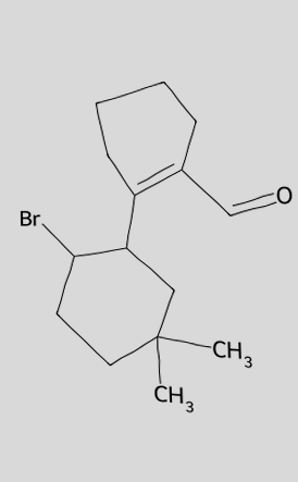 CC1(C)CCC(Br)C(C2=C(C=O)CCCC2)C1